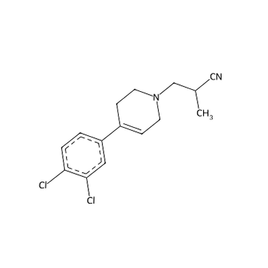 CC(C#N)CN1CC=C(c2ccc(Cl)c(Cl)c2)CC1